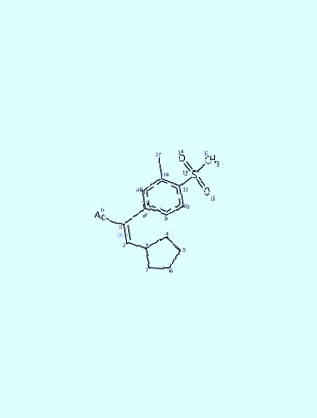 CC(=O)/C(=C/C1CCCC1)c1ccc(S(C)(=O)=O)c(I)c1